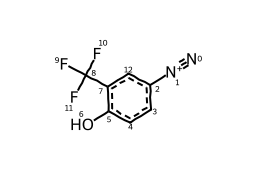 N#[N+]c1ccc(O)c(C(F)(F)F)c1